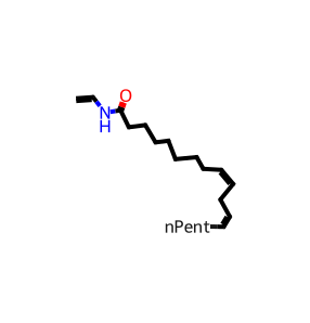 C=CNC(=O)CCCCCCC/C=C\C/C=C\CCCCC